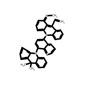 C=CC1=C2C(=CC=C/C2=N/C)B(c2ccc(N3c4ccccc4C(C)(C)c4ccccc43)c3ncccc23)c2ccccc21